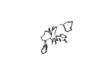 O=C1CCCCN2C[C@@H]1NC(=O)[C@H]2Cc1ccccc1